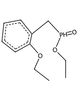 CCOc1ccccc1C[PH](=O)OCC